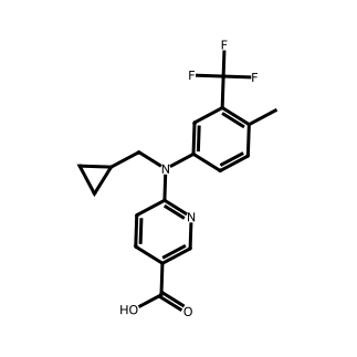 Cc1ccc(N(CC2CC2)c2ccc(C(=O)O)cn2)cc1C(F)(F)F